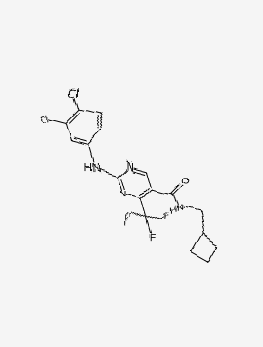 O=C(NCC1CCC1)c1cnc(Nc2ccc(Cl)c(Cl)c2)nc1C(F)(F)F